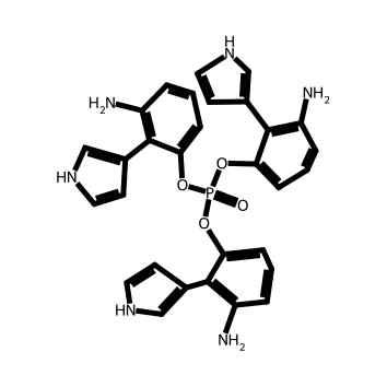 Nc1cccc(OP(=O)(Oc2cccc(N)c2-c2cc[nH]c2)Oc2cccc(N)c2-c2cc[nH]c2)c1-c1cc[nH]c1